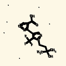 CC(C)(O)CCn1ncc(-c2nocc2C(=O)O)c1C(F)(F)F